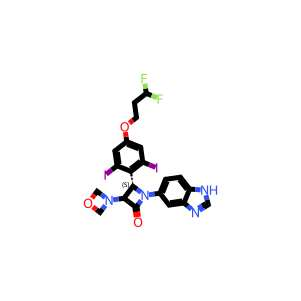 O=C1C(N2COC2)[C@H](c2c(I)cc(OCCC(F)F)cc2I)N1c1ccc2[nH]cnc2c1